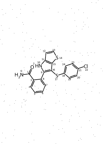 NC(=O)c1ccccc1-c1[nH]c2ccsc2c1Sc1ccc(Cl)cc1